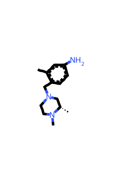 Cc1cc(N)ccc1CN1CCN(C)[C@@H](C)C1